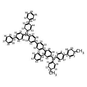 CC1C=CC(c2ccc(N(C3=CCC(C)C=C3)c3ccc(-c4ccc(-c5ccc(N(c6ccc(-c7ccccc7)cc6)C6C=CC(c7ccccc7)=CC6)cc5)cc4)c(-c4ccccc4)c3)cc2)=CC1